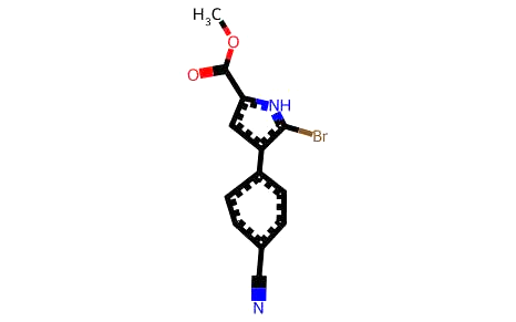 COC(=O)c1cc(-c2ccc(C#N)cc2)c(Br)[nH]1